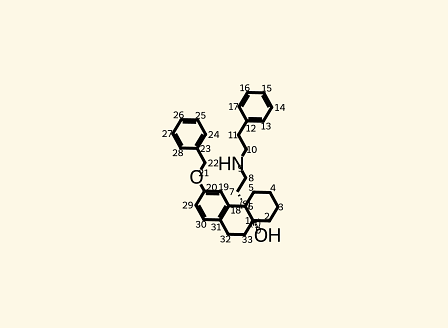 O[C@@]12CCCC[C@]1(CCNCCc1ccccc1)c1cc(OCc3ccccc3)ccc1CC2